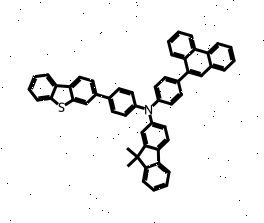 CC1(C)c2ccccc2-c2ccc(N(c3ccc(-c4ccc5c(c4)sc4ccccc45)cc3)c3ccc(-c4cc5ccccc5c5ccccc45)cc3)cc21